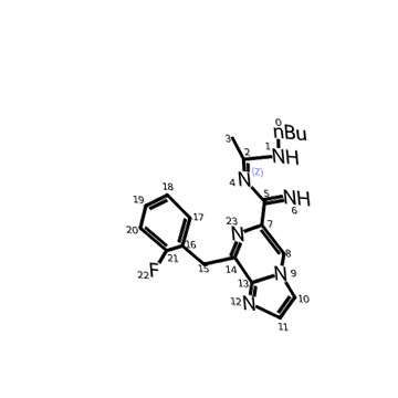 CCCCN/C(C)=N\C(=N)c1cn2ccnc2c(Cc2ccccc2F)n1